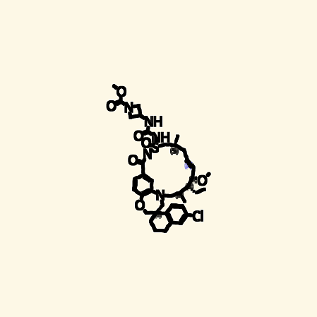 CC[C@H]1[C@@H](OC)/C=C/C[C@H](C)CS(=O)(NC(=O)NC2CN(C(=O)OC)C2)=NC(=O)c2ccc3c(c2)N(C[C@@H]1C)C[C@@]1(CCCc2cc(Cl)ccc21)CO3